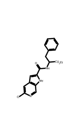 CCOC(=O)C(Cc1ccccc1)NC(=O)c1cc2cc(Cl)ncc2[nH]1